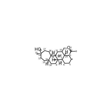 CC(=O)[C@H]1CCC[C@H]2[C@@H]3CC[C@@H]4CC[C@](C)(O)CC[C@@H]4[C@H]3CC(C)[C@@H]21